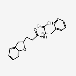 O=C(CCC1Cc2ccccc2O1)N[C@@H](Cc1ccccc1)C(=O)O